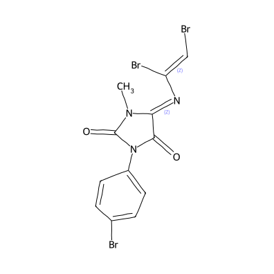 CN1C(=O)N(c2ccc(Br)cc2)C(=O)/C1=N/C(Br)=C/Br